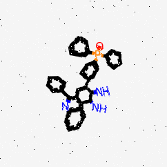 N=C1C(=N)c2c(c(-c3ccccc3)nc3ccccc23)C=C1c1ccc(P(=O)(c2ccccc2)c2ccccc2)cc1